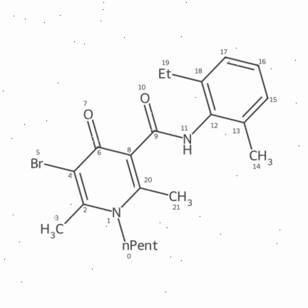 CCCCCn1c(C)c(Br)c(=O)c(C(=O)Nc2c(C)cccc2CC)c1C